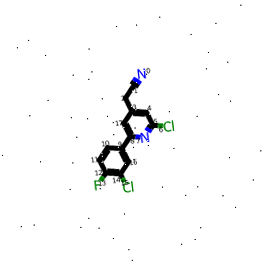 N#CCc1cc(Cl)nc(-c2ccc(F)c(Cl)c2)c1